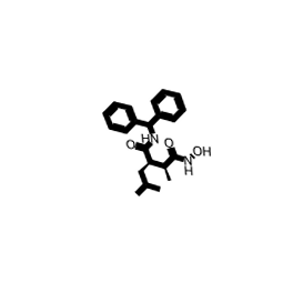 CC(C)C[C@@H](C(=O)NC(c1ccccc1)c1ccccc1)[C@H](C)C(=O)NO